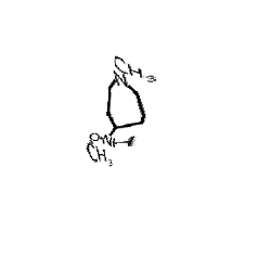 CONC1CCN(C)CC1